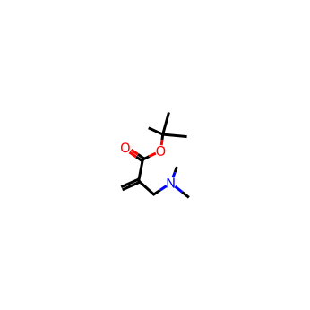 C=C(CN(C)C)C(=O)OC(C)(C)C